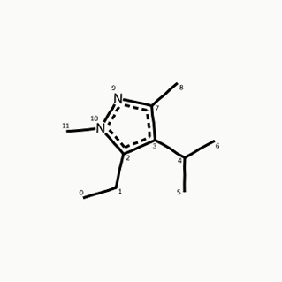 CCc1c(C(C)C)c(C)nn1C